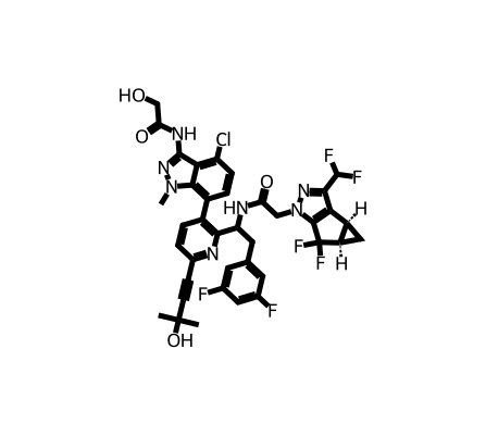 Cn1nc(NC(=O)CO)c2c(Cl)ccc(-c3ccc(C#CC(C)(C)O)nc3C(Cc3cc(F)cc(F)c3)NC(=O)Cn3nc(C(F)F)c4c3C(F)(F)[C@@H]3C[C@H]43)c21